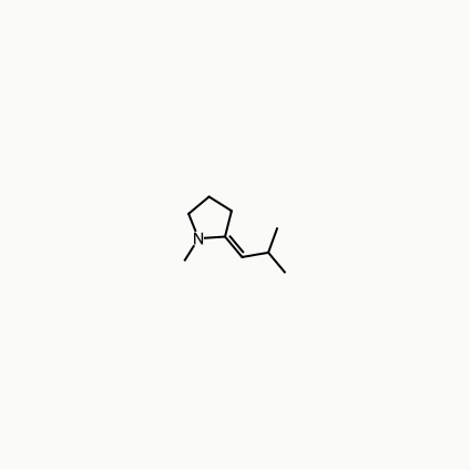 CC(C)/C=C1\CCCN1C